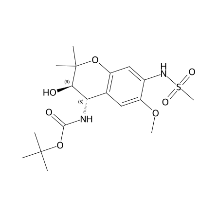 COc1cc2c(cc1NS(C)(=O)=O)OC(C)(C)[C@H](O)[C@H]2NC(=O)OC(C)(C)C